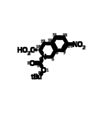 CC(C)(C)OC(=O)N1Cc2cc([N+](=O)[O-])ccc2C[C@H]1C(=O)O